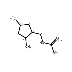 C=C(CCC)NCC1CC(C)CC1C